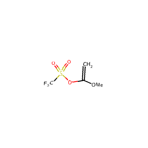 C=C(OC)OS(=O)(=O)C(F)(F)F